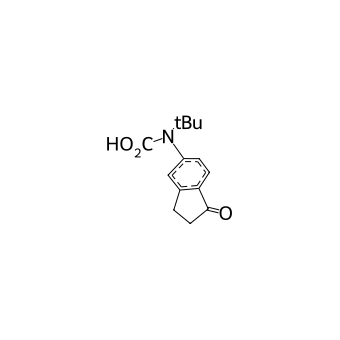 CC(C)(C)N(C(=O)O)c1ccc2c(c1)CCC2=O